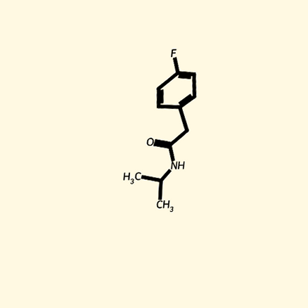 CC(C)NC(=O)Cc1ccc(F)cc1